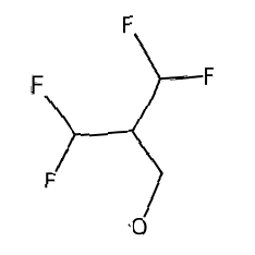 [O]CC(C(F)F)C(F)F